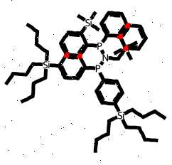 CCCC[Si](CCCC)(CCCC)c1ccc(P(c2ccc([Si](CCCC)(CCCC)CCCC)cc2)N(Cc2ccccc2)P(c2ccccc2[Si](C)(C)C)c2ccccc2[Si](C)(C)C)cc1